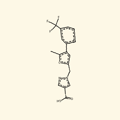 Cc1oc(Cn2cc(C(=O)O)cn2)cc1-c1cccc(C(F)(F)F)c1